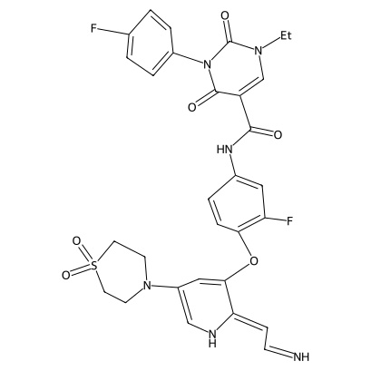 CCn1cc(C(=O)Nc2ccc(OC3=CC(N4CCS(=O)(=O)CC4)=CN/C3=C\C=N)c(F)c2)c(=O)n(-c2ccc(F)cc2)c1=O